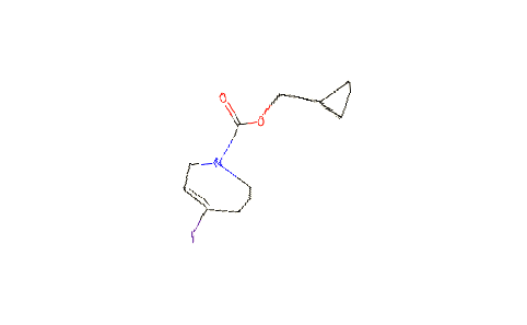 O=C(OCC1CC1)N1CC=C(I)CC1